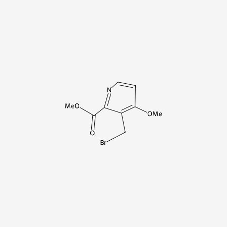 COC(=O)c1nccc(OC)c1CBr